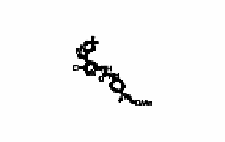 COCCN(C)C1CCC(NC(=O)Nc2cc(-c3cnn4c3CC(C)(C)C4)c(Cl)cn2)CC1